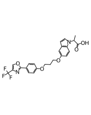 CC(C(=O)O)n1ccc2cc(OCCCOc3ccc(-c4nc(C(F)(F)F)co4)cc3)ccc21